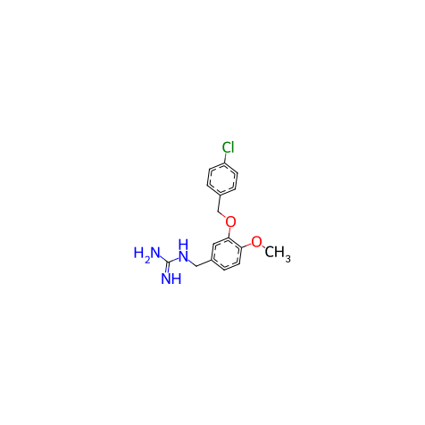 COc1ccc(CNC(=N)N)cc1OCc1ccc(Cl)cc1